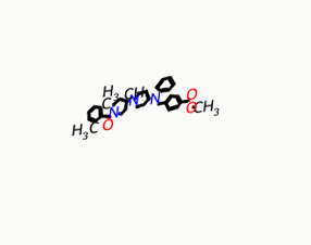 COC(=O)c1ccc(CN(c2ccccc2)C2CCN(C3(C)CCN(C(=O)c4c(C)cccc4C)CC3)CC2)cc1